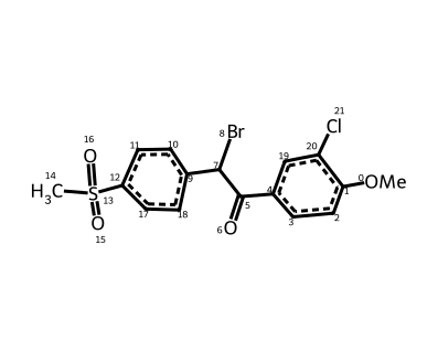 COc1ccc(C(=O)C(Br)c2ccc(S(C)(=O)=O)cc2)cc1Cl